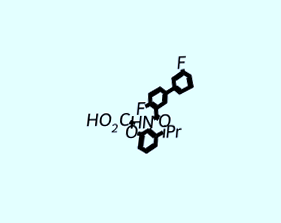 CC(C)c1cccc(OCC(=O)O)c1NC(=O)c1cc(-c2cccc(F)c2)ccc1F